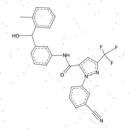 Cc1ccccc1C(O)c1cccc(NC(=O)c2cc(C(F)(F)F)nn2-c2cccc(C#N)c2)c1